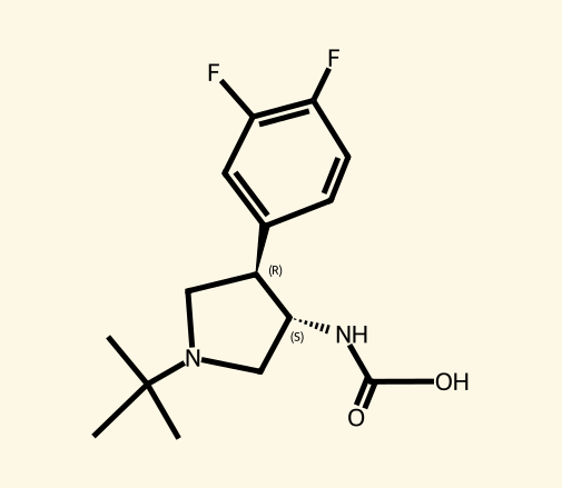 CC(C)(C)N1C[C@@H](NC(=O)O)[C@H](c2ccc(F)c(F)c2)C1